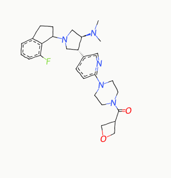 CN(C)[C@@H]1CN(C2CCc3cccc(F)c32)C[C@H]1c1ccc(N2CCN(C(=O)C3COC3)CC2)nc1